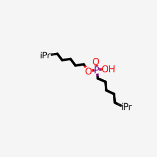 CC(C)CCCCCOP(=O)(O)CCCCCC(C)C